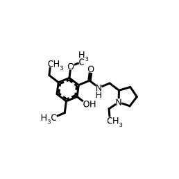 CCc1cc(CC)c(OC)c(C(=O)NCC2CCCN2CC)c1O